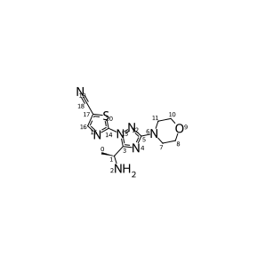 C[C@H](N)c1nc(N2CCOCC2)nn1-c1ncc(C#N)s1